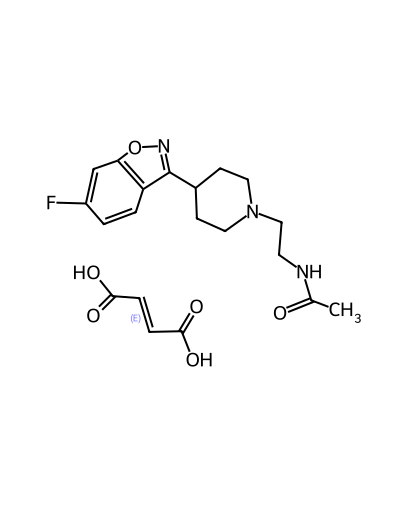 CC(=O)NCCN1CCC(c2noc3cc(F)ccc23)CC1.O=C(O)/C=C/C(=O)O